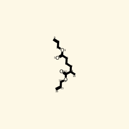 C=CCOC(=O)CCCC(C)C(=O)OCC=C